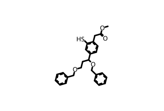 COC(=O)Cc1ccc(C(CCOCc2ccccc2)OCc2ccccc2)cc1S